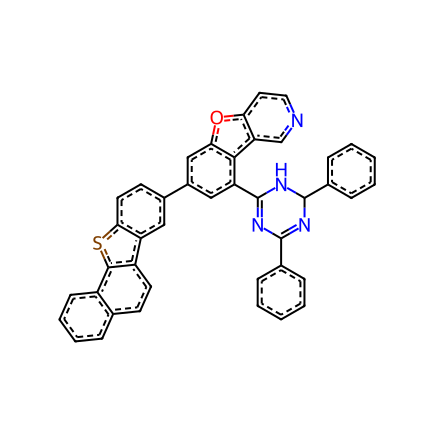 c1ccc(C2=NC(c3ccccc3)NC(c3cc(-c4ccc5sc6c7ccccc7ccc6c5c4)cc4oc5ccncc5c34)=N2)cc1